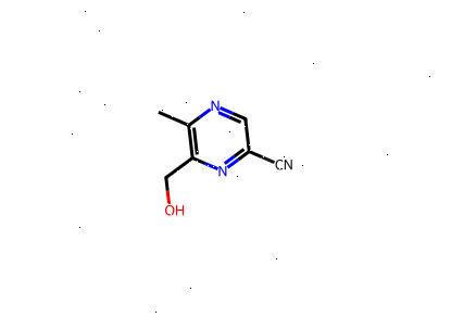 Cc1ncc(C#N)nc1CO